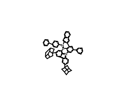 c1ccc(-c2ccc(N3B4c5c(cc(-c6ccccc6)cc5-n5c6ccc(C78CC9CC%10CC(C7)C%1098)cc6c6cc(C78CC9CC%10CC(C7)C8C%109)cc4c65)-c4cc5ccccc5cc43)cc2)cc1